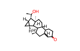 C[C@@H]1CC2=CC(=O)CC[C@@H]2[C@H]2CC[C@@]3(C)[C@H]([C@@H]4C[C@@H]4[C@H]3[C@@H](C)O)[C@@H]21